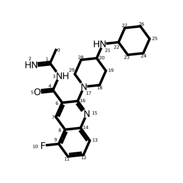 CC(=N)NC(=O)c1cc2c(F)cccc2nc1N1CCC(NC2CCCCC2)CC1